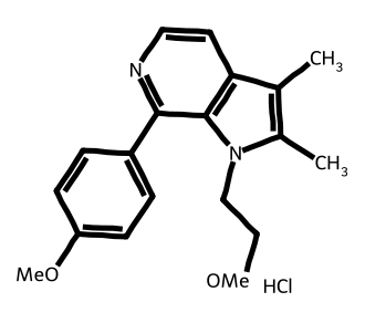 COCCn1c(C)c(C)c2ccnc(-c3ccc(OC)cc3)c21.Cl